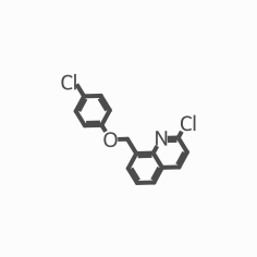 Clc1ccc(OCc2cccc3ccc(Cl)nc23)cc1